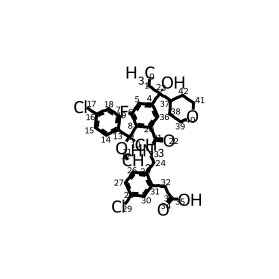 CC[C@](O)(c1cc(F)c([C@](C)(OC)c2ccc(Cl)cc2)c(C(=O)NCc2ccc(Cl)cc2CC(=O)O)c1)C1CCOCC1